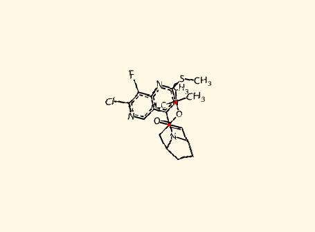 CSc1nc(C2=CC3CCC(C2)N3C(=O)OC(C)(C)C)c2cnc(Cl)c(F)c2n1